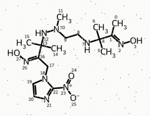 CC(=NO)C(C)(C)NCCN(C)NC(C)(C)C(Cn1ccnc1[N+](=O)[O-])=NO